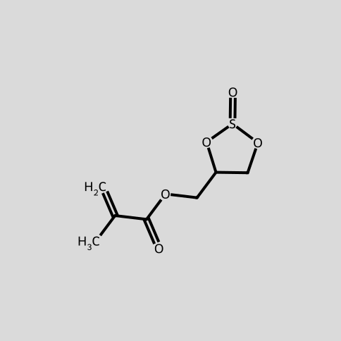 C=C(C)C(=O)OCC1COS(=O)O1